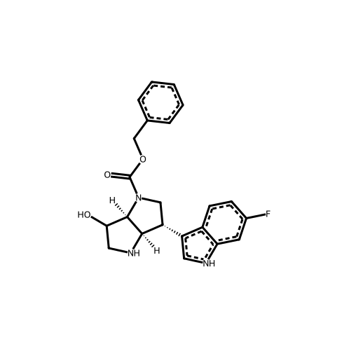 O=C(OCc1ccccc1)N1C[C@H](c2c[nH]c3cc(F)ccc23)[C@H]2NCC(O)[C@H]21